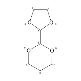 C1COC(C2OCCO2)OC1